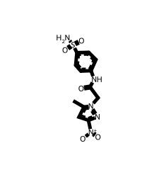 Cc1cc([N+](=O)[O-])nn1CC(=O)Nc1ccc(S(N)(=O)=O)cc1